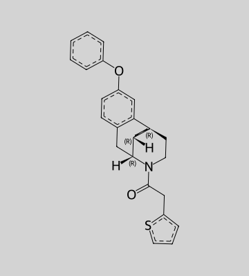 O=C(Cc1cccs1)N1CC[C@]23CCCC[C@H]2[C@H]1Cc1ccc(Oc2ccccc2)cc13